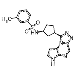 Cc1cccc(S(=O)(=O)N[C@H]2CC[C@@H](c3nnc4cnc5[nH]ccc5n34)C2)c1